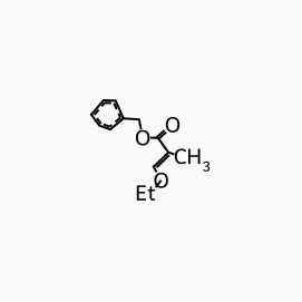 CCOC=C(C)C(=O)OCc1ccccc1